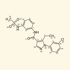 CCc1c(C(=O)Nc2cccc(NS(C)(=O)=O)c2)cnn1-c1cccc(Cl)c1